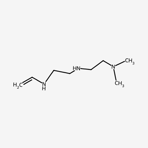 C=CNCCNCCN(C)C